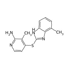 Cc1c(Sc2nc3c(C)cccc3[nH]2)ccnc1N